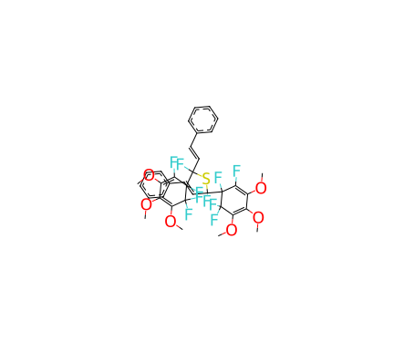 COC1=C(OC)C(F)(F)C(F)(C(F)(C=Cc2ccccc2)SC(F)(C=Cc2ccccc2)C2(F)C(F)=C(OC)C(OC)=C(OC)C2(F)F)C(F)=C1OC